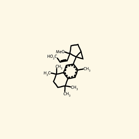 COC1(C=CC(=O)O)CCC2CC21c1cc2c(cc1C)C(C)(C)CCC2(C)C